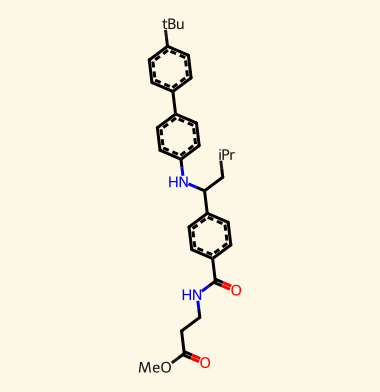 COC(=O)CCNC(=O)c1ccc(C(CC(C)C)Nc2ccc(-c3ccc(C(C)(C)C)cc3)cc2)cc1